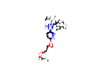 COCCOc1ccc(NC(C)(C)C)nn1